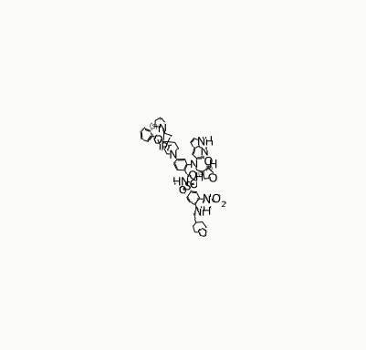 CC(C)Oc1ccccc1[C@@H]1CCCN1C1CC2(CCN(c3ccc(C(=O)NS(=O)(=O)c4ccc(NCC5CCOCC5)c([N+](=O)[O-])c4)c(N4C[C@H]5COC[C@@H]5Oc5nc6[nH]ccc6cc54)c3)CC2)C1